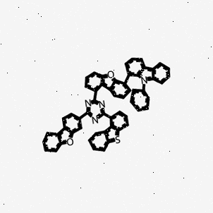 c1ccc(-n2c3ccccc3c3cccc(-c4cccc5c4oc4cccc(-c6nc(-c7ccc8c(c7)oc7ccccc78)nc(-c7cccc8sc9ccccc9c78)n6)c45)c32)cc1